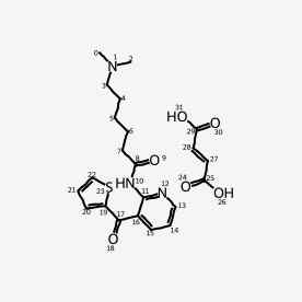 CN(C)CCCCCC(=O)Nc1ncccc1C(=O)c1cccs1.O=C(O)C=CC(=O)O